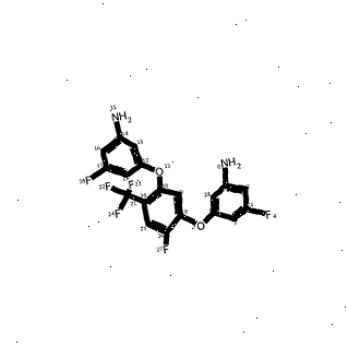 Nc1cc(F)cc(Oc2cc(Oc3cc(N)cc(F)c3)c(C(F)(F)F)cc2F)c1